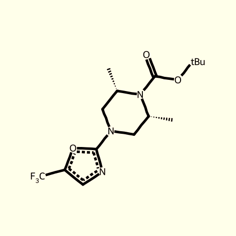 C[C@@H]1CN(c2ncc(C(F)(F)F)o2)C[C@H](C)N1C(=O)OC(C)(C)C